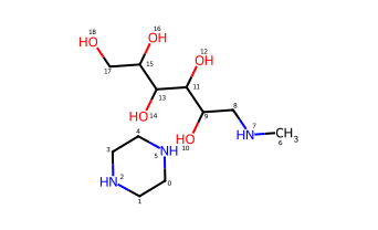 C1CNCCN1.CNCC(O)C(O)C(O)C(O)CO